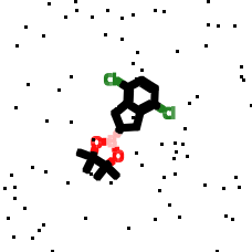 CC1(C)OB(C2Cc3c(Cl)ccc(Cl)c3C2)OC1(C)C